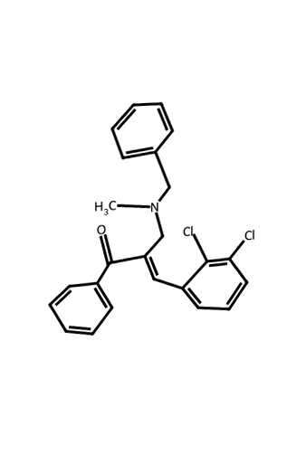 CN(C/C(=C\c1cccc(Cl)c1Cl)C(=O)c1ccccc1)Cc1ccccc1